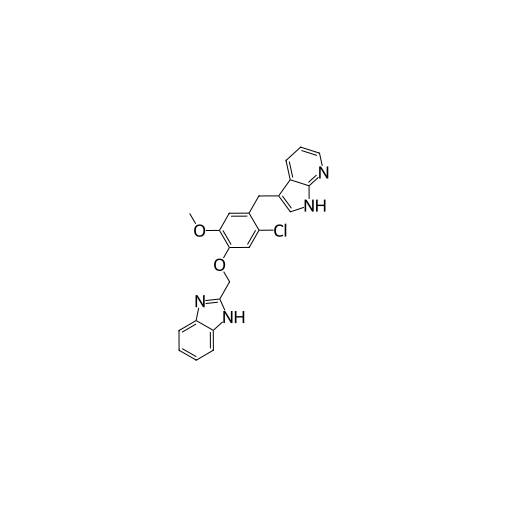 COc1cc(Cc2c[nH]c3ncccc23)c(Cl)cc1OCc1nc2ccccc2[nH]1